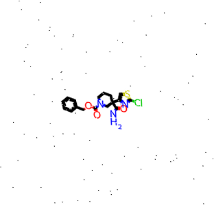 NC(=O)C1(c2csc(Cl)n2)CCCN(C(=O)OCc2ccccc2)C1